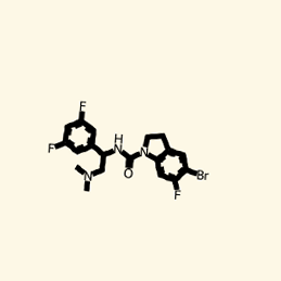 CN(C)CC(NC(=O)N1CCc2cc(Br)c(F)cc21)c1cc(F)cc(F)c1